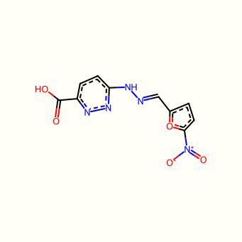 O=C(O)c1ccc(NN=Cc2ccc([N+](=O)[O-])o2)nn1